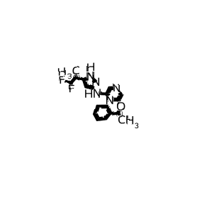 C[C@H](Oc1cncc(Nc2cc([C@@H](C)C(F)F)[nH]n2)n1)c1ccccc1